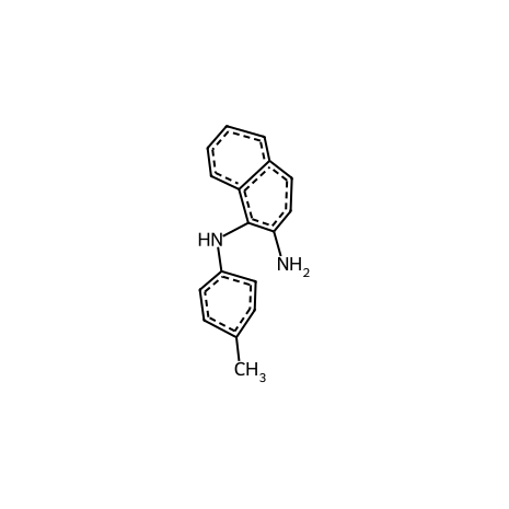 Cc1ccc(Nc2c(N)ccc3ccccc23)cc1